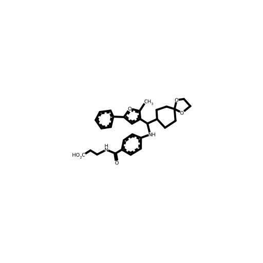 Cc1oc(-c2ccccc2)cc1C(Nc1ccc(C(=O)NCCC(=O)O)cc1)C1CCC2(CC1)OCCO2